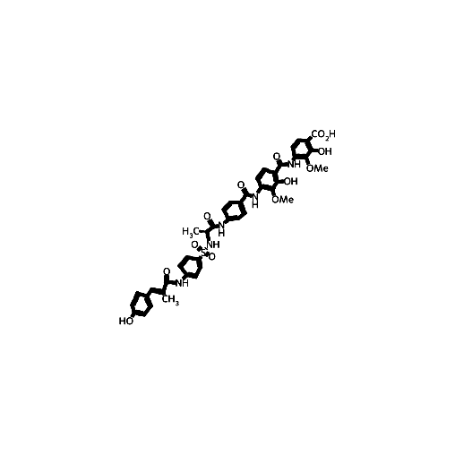 COc1c(NC(=O)c2ccc(NC(=O)c3ccc(NC(=O)[C@H](C)NS(=O)(=O)c4ccc(NC(=O)/C(C)=C/c5ccc(O)cc5)cc4)cc3)c(OC)c2O)ccc(C(=O)O)c1O